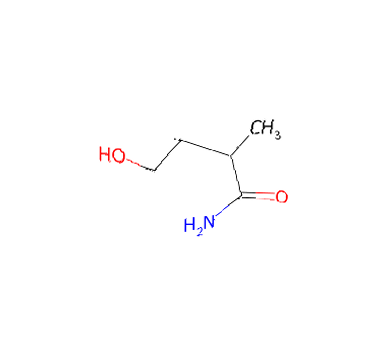 CC([CH]CO)C(N)=O